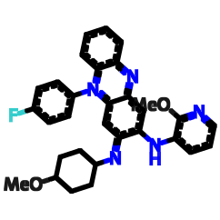 COc1ncccc1Nc1cc2nc3ccccc3n(-c3ccc(F)cc3)c-2c/c1=N\C1CCC(OC)CC1